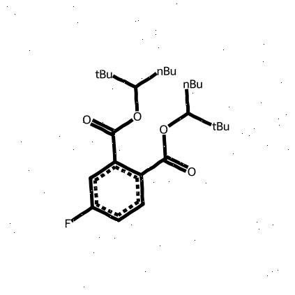 CCCCC(OC(=O)c1ccc(F)cc1C(=O)OC(CCCC)C(C)(C)C)C(C)(C)C